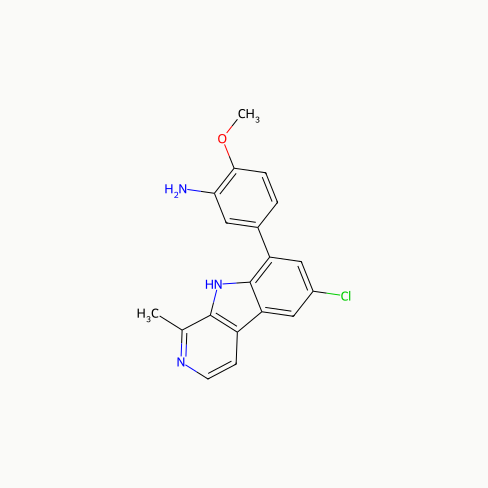 COc1ccc(-c2cc(Cl)cc3c2[nH]c2c(C)nccc23)cc1N